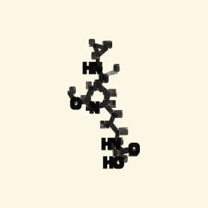 COc1cc([C@@H](C)NC2CC2)cc(CCCNC(=O)O)n1